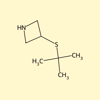 CC(C)(C)SC1CNC1